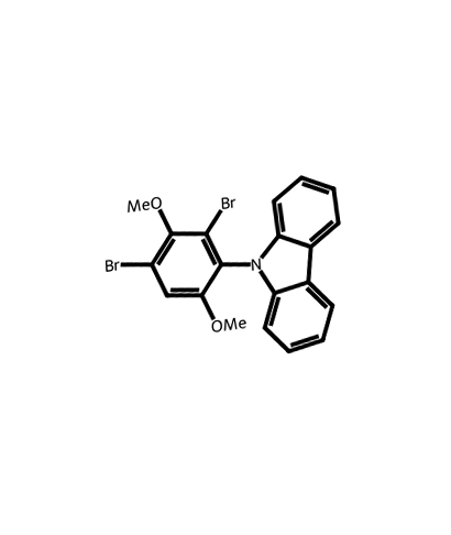 COc1cc(Br)c(OC)c(Br)c1-n1c2ccccc2c2ccccc21